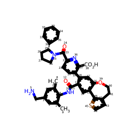 Cc1cc(CN)cc(C)c1NC(=O)c1cc2c(cc1-c1ccc(C(=O)N3CCC[C@@H]3c3ccccc3)nc1C(=O)O)OCCc1ccsc1-2